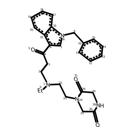 CCN(CCC(=O)c1cn(Cc2ccccc2)c2ccccc12)CCN1CC(=O)NCC1=O